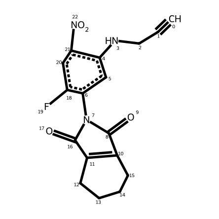 C#CCNc1cc(N2C(=O)C3=C(CCCC3)C2=O)c(F)cc1[N+](=O)[O-]